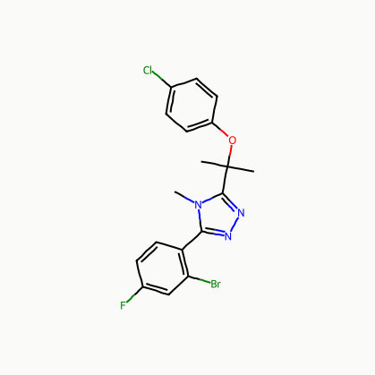 Cn1c(-c2ccc(F)cc2Br)nnc1C(C)(C)Oc1ccc(Cl)cc1